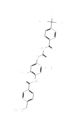 COc1cc(NC(=S)NC(=O)c2ccc(C(C)(C)C)cc2)ccc1NC(=O)c1ccc(CN)cc1.Cl